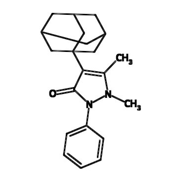 Cc1c(C23CC4CC(CC(C4)C2)C3)c(=O)n(-c2ccccc2)n1C